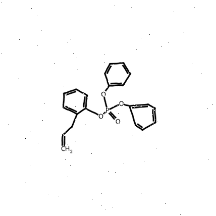 C=CCc1ccccc1OP(=O)(Oc1ccccc1)Oc1ccccc1